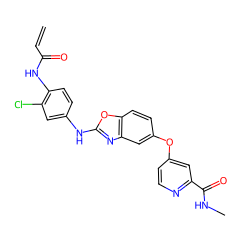 C=CC(=O)Nc1ccc(Nc2nc3cc(Oc4ccnc(C(=O)NC)c4)ccc3o2)cc1Cl